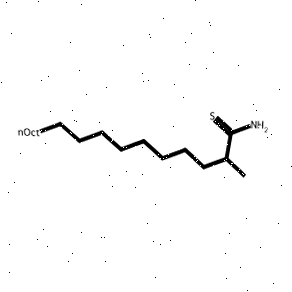 CCCCCCCCCCCCCCCCC(C)C(N)=S